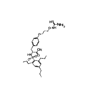 CCCc1cc(CCC)c(S(=O)(=O)NC(Cc2ccc(OCCCONC(=N)N)cc2)C(=O)O)c(CCC)c1